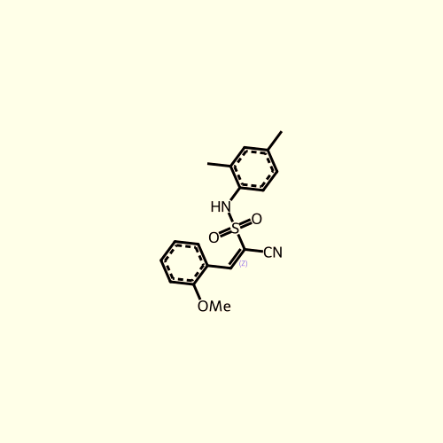 COc1ccccc1/C=C(/C#N)S(=O)(=O)Nc1ccc(C)cc1C